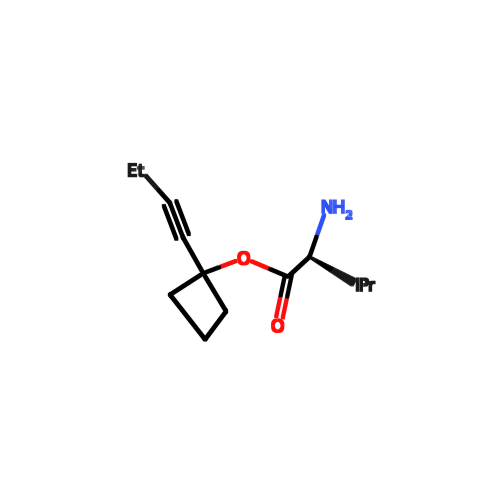 CCC#CC1(OC(=O)[C@@H](N)C(C)C)CCC1